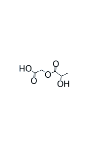 CC(O)C(=O)OCC(=O)O